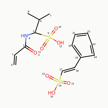 C=CC(=O)NC(C(C)C)S(=O)(=O)O.O=S(=O)(O)C=Cc1ccccc1